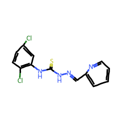 S=C(NN=Cc1ccccn1)Nc1cc(Cl)ccc1Cl